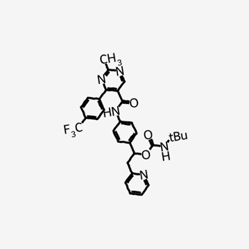 Cc1ncc(C(=O)Nc2ccc(C(Cc3ccccn3)OC(=O)NC(C)(C)C)cc2)c(-c2ccc(C(F)(F)F)cc2)n1